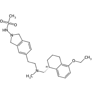 CCOc1cccc2c1CCC[C@H]2CN(C)CCc1ccc2c(c1)CN(NS(C)(=O)=O)C2